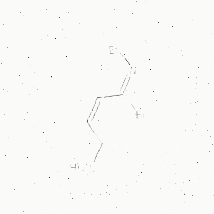 CC/N=C(Br)\C=C/CC(=O)O